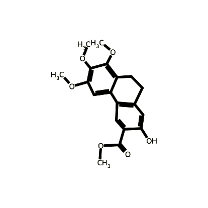 COC(=O)c1cc2c(cc1O)CCc1c-2cc(OC)c(OC)c1OC